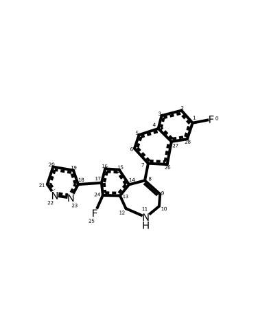 Fc1ccc2ccc(C3=CCNCc4c3ccc(-c3cccnn3)c4F)cc2c1